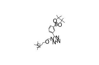 CC1(C)OB(c2cccc(-c3nnnn3COCC[Si](C)(C)C)c2)OC1(C)C